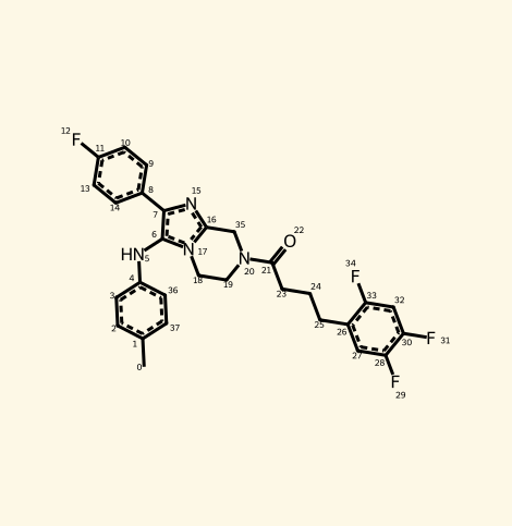 Cc1ccc(Nc2c(-c3ccc(F)cc3)nc3n2CCN(C(=O)CCCc2cc(F)c(F)cc2F)C3)cc1